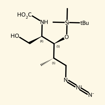 C[C@@H](CN=[N+]=[N-])[C@H](O[Si](C)(C)C(C)(C)C)[C@@H](CO)NC(=O)O